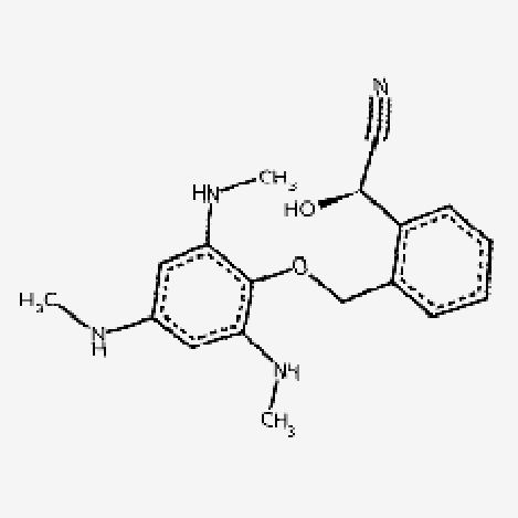 CNc1cc(NC)c(OCc2ccccc2[C@@H](O)C#N)c(NC)c1